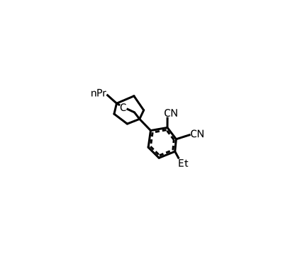 CCCC12CCC(c3ccc(CC)c(C#N)c3C#N)(CC1)CC2